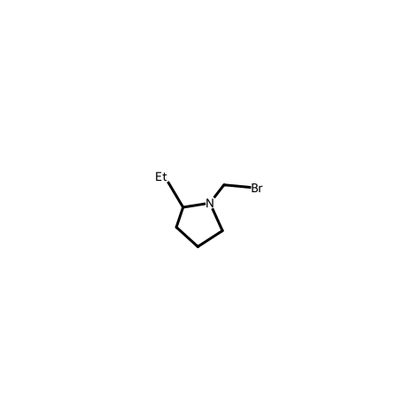 CCC1CCCN1CBr